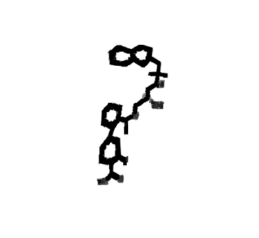 CC(OC[C@@H](O)CNC(C)(C)Cc1ccc2ccccc2c1)c1ccccc1-c1ccc(C(=O)O)c(F)c1